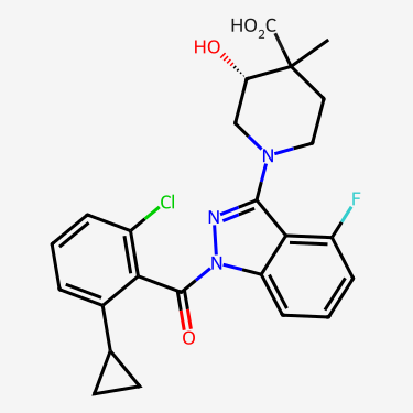 CC1(C(=O)O)CCN(c2nn(C(=O)c3c(Cl)cccc3C3CC3)c3cccc(F)c23)C[C@@H]1O